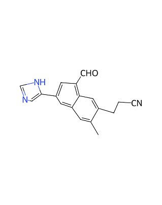 Cc1cc2cc(-c3cnc[nH]3)cc(C=O)c2cc1CCC#N